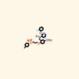 COc1ccc(OCCCOS(=O)(=O)c2ccc(C)cc2)c(CN(C(C)=O)c2cccnc2Oc2ccccc2F)c1